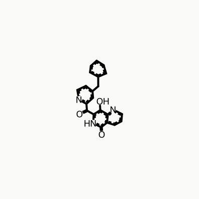 O=C(c1cc(Cc2ccccc2)ccn1)c1[nH]c(=O)c2cccnc2c1O